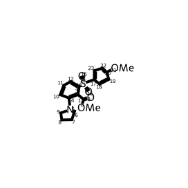 COC(=O)c1c(N2CCCC2)cccc1S(=O)(=O)c1ccc(OC)cc1